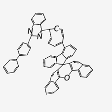 C1=C/C(c2cccc3c2-c2ccccc2C32c3ccc4ccccc4c3Oc3c2ccc2ccccc32)=C\C=C\C(c2nc(-c3ccc(-c4ccccc4)cc3)nc3ccccc23)C\1